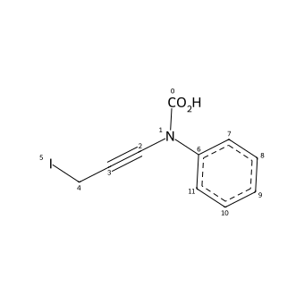 O=C(O)N(C#CCI)c1ccccc1